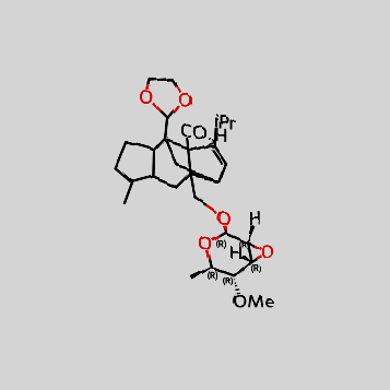 CO[C@H]1[C@H]2O[C@H]2[C@H](OCC23CC4C(C)CCC4C4(C5OCCO5)CC2C=C(C(C)C)C34C(=O)O)O[C@@H]1C